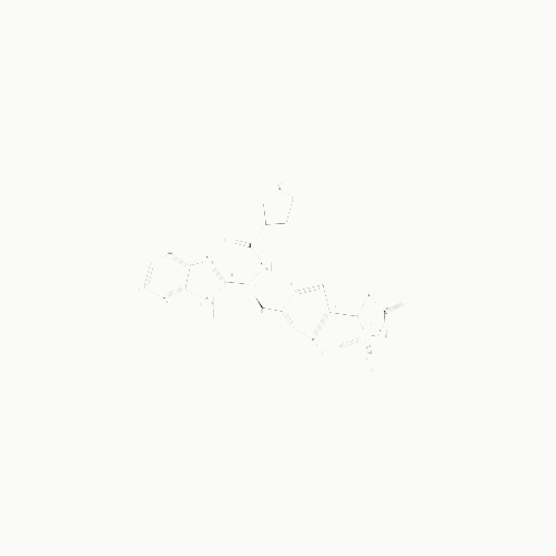 O=C1CC(c2ccc(C[C@H](NC(=O)C3CCCC3)c3nc4ccccc4[nH]3)cc2)S(=O)(=O)N1